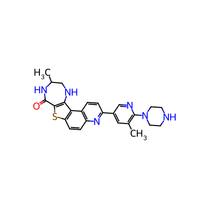 Cc1cc(-c2ccc3c(ccc4sc5c(c43)NCC(C)NC5=O)n2)cnc1N1CCNCC1